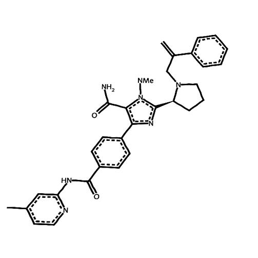 C=C(CN1CCC[C@H]1c1nc(-c2ccc(C(=O)Nc3cc(C)ccn3)cc2)c(C(N)=O)n1NC)c1ccccc1